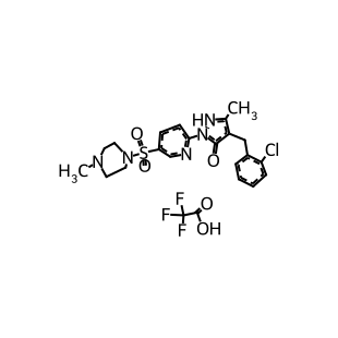 Cc1[nH]n(-c2ccc(S(=O)(=O)N3CCN(C)CC3)cn2)c(=O)c1Cc1ccccc1Cl.O=C(O)C(F)(F)F